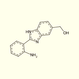 Nc1ccccc1-c1nc2cc(CO)ccc2[nH]1